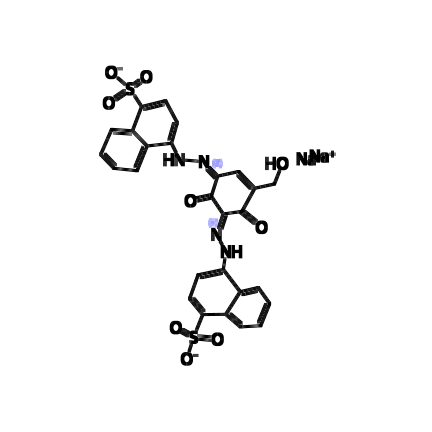 O=c1c(CO)c/c(=N/Nc2ccc(S(=O)(=O)[O-])c3ccccc23)c(=O)/c1=N/Nc1ccc(S(=O)(=O)[O-])c2ccccc12.[Na+].[Na+]